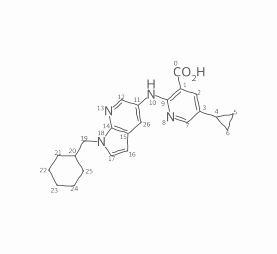 O=C(O)c1cc(C2CC2)cnc1Nc1cnc2c(ccn2CC2CCCCC2)c1